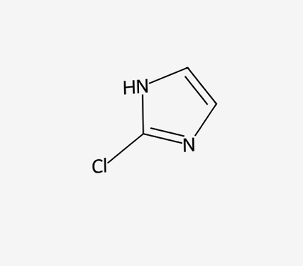 Clc1ncc[nH]1